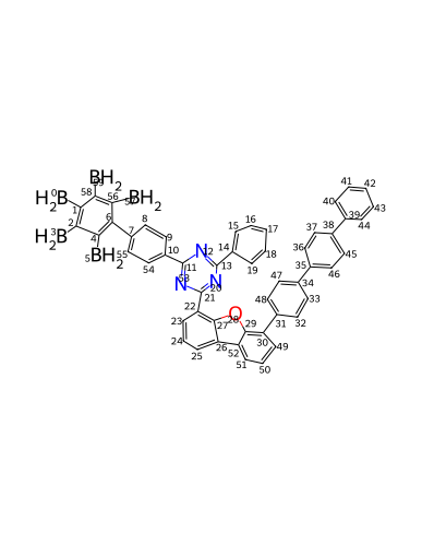 Bc1c(B)c(B)c(-c2ccc(-c3nc(-c4ccccc4)nc(-c4cccc5c4oc4c(-c6ccc(-c7ccc(-c8ccccc8)cc7)cc6)cccc45)n3)cc2)c(B)c1B